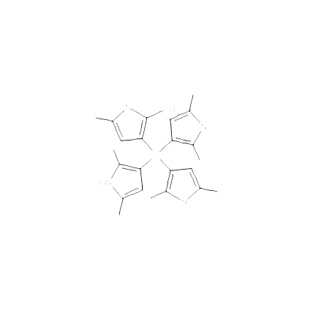 Cc1c[c]([Zr]([c]2cc(C)[nH]c2C)([c]2cc(C)[nH]c2C)[c]2cc(C)[nH]c2C)c(C)[nH]1